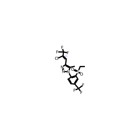 CCS(=O)(=O)c1cc(C(F)(F)F)ccc1-n1nnc(/C=C(\Cl)C(F)(F)F)c1C